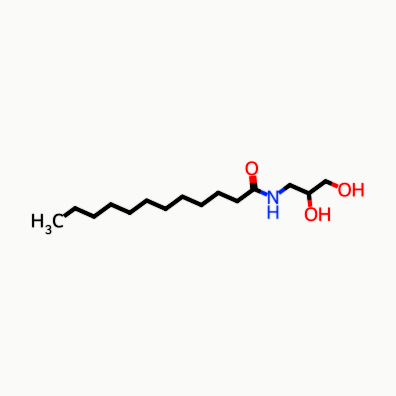 CCCCCCCCCCCC(=O)NCC(O)CO